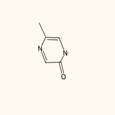 CC1=[C][N]C(=O)C=N1